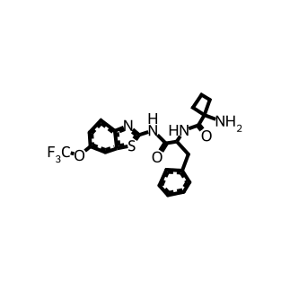 NC1(C(=O)NC(Cc2ccccc2)C(=O)Nc2nc3ccc(OC(F)(F)F)cc3s2)CCC1